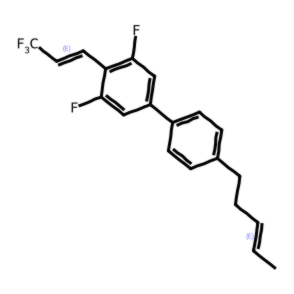 C/C=C/CCc1ccc(-c2cc(F)c(/C=C/C(F)(F)F)c(F)c2)cc1